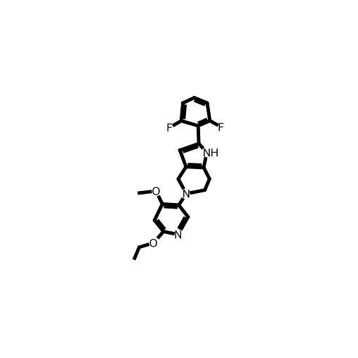 CCOc1cc(OC)c(N2CCc3[nH]c(-c4c(F)cccc4F)cc3C2)cn1